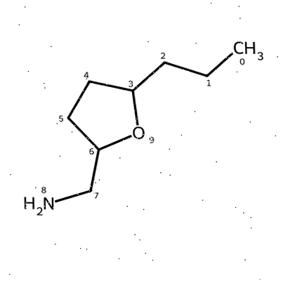 CCCC1CCC(CN)O1